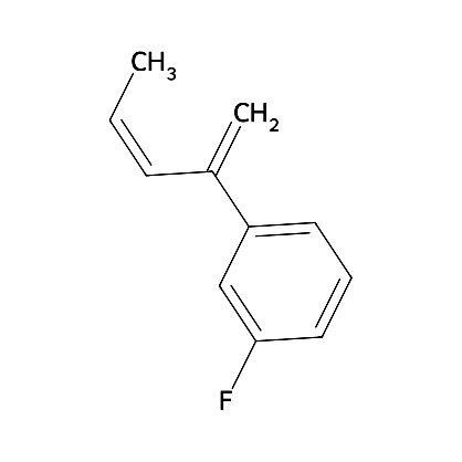 C=C(/C=C\C)c1cccc(F)c1